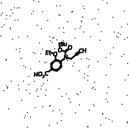 C#CCN(C(=O)OC(C)(C)C)c1ccc(C(=O)O)cc1OCC